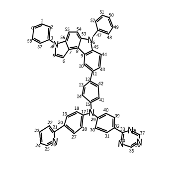 c1ccc(-n2ccc3c4c5cc(-c6ccc(N(c7ccc(-c8ccccn8)cc7)c7ccc(-c8ncncn8)cc7)cc6)ccc5n(-c5ccccc5)c4ccc32)cc1